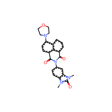 Cn1c(=O)n(C)c2cc(N3C(=O)c4cccc5c(N6CCOCC6)ccc(c45)C3=O)ccc21